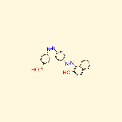 OSc1ccc(/N=N\c2ccc(N=Nc3c(O)ccc4ccccc34)cc2)cc1